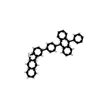 c1ccc(-c2c3ccccc3c(-c3ccc(-c4ccc5oc6cc7ccccc7cc6c5c4)cc3)c3ccccc23)cc1